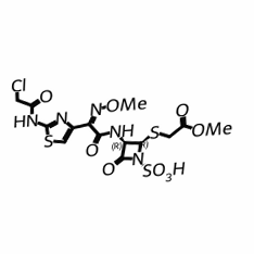 CON=C(C(=O)N[C@@H]1C(=O)N(S(=O)(=O)O)[C@@H]1SCC(=O)OC)c1csc(NC(=O)CCl)n1